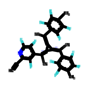 C#Cc1nc(F)c(F)c(/C(C#N)=C2\C(=C(C#N)c3c(F)c(F)c(C)c(F)c3F)\C2=C(/C#N)c2c(F)c(F)c(C)c(F)c2F)c1F